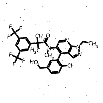 CCn1ncc2c(-c3cc(CO)ccc3Cl)c(N(C)C(=O)C(C)(C)c3cc(C(F)(F)F)cc(C(F)(F)F)c3)cnc21